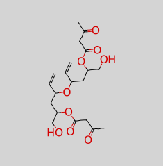 C=CC(CC(CO)OC(=O)CC(C)=O)OC(C=C)CC(CO)OC(=O)CC(C)=O